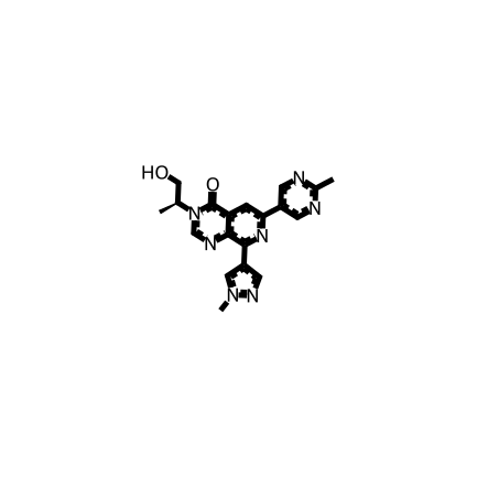 Cc1ncc(-c2cc3c(=O)n([C@@H](C)CO)cnc3c(-c3cnn(C)c3)n2)cn1